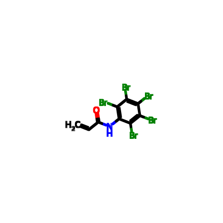 C=CC(=O)Nc1c(Br)c(Br)c(Br)c(Br)c1Br